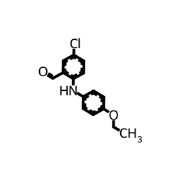 CCOc1ccc(Nc2ccc(Cl)cc2C=O)cc1